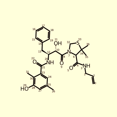 C=CCNC(=O)C1N(C(=O)[C@@H](O)[C@H](Cc2ccccc2)NC(=O)c2cc(C)cc(O)c2C)CSC1(C)C